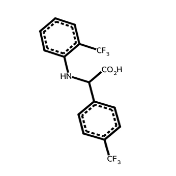 O=C(O)C(Nc1ccccc1C(F)(F)F)c1ccc(C(F)(F)F)cc1